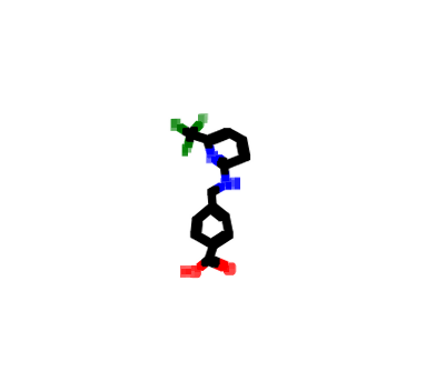 O=C(O)c1ccc(CNc2cccc(C(F)(F)F)n2)cc1